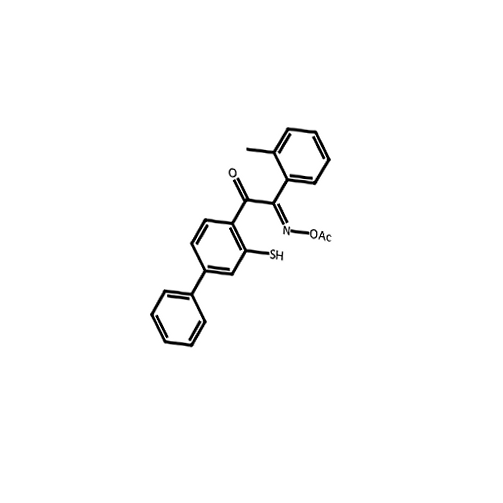 CC(=O)ON=C(C(=O)c1ccc(-c2ccccc2)cc1S)c1ccccc1C